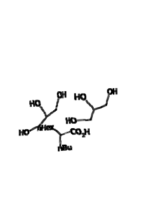 CCCCCCC(CCCC)C(=O)O.OCC(O)CO.OCC(O)CO